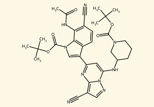 CC(=O)Nc1c(C#N)ccc2c(-c3cc(NC4CCCN(C(=O)OC(C)(C)C)C4)n4ncc(C#N)c4n3)cn(C(=O)OC(C)(C)C)c12